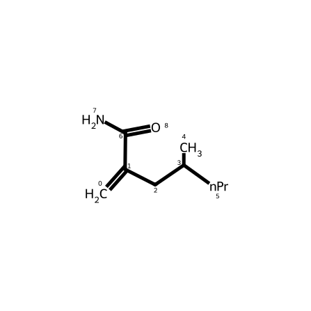 C=C(CC(C)CCC)C(N)=O